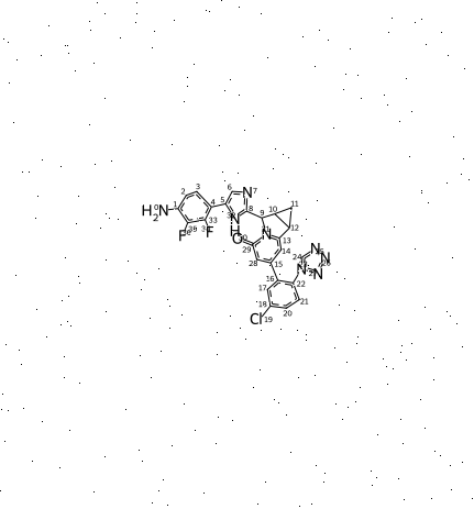 Nc1ccc(-c2cnc(C3C4CC4c4cc(-c5cc(Cl)ccc5-n5cnnn5)cc(=O)n43)[nH]2)c(F)c1F